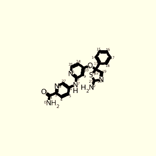 NC(=O)c1ccc(Nc2cc(OC3(c4ccccc4)C=NC(N)S3)ccn2)cn1